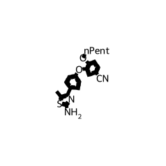 CCCCCOc1ccc(C#N)cc1Oc1ccc(-c2nc(N)sc2C)cc1